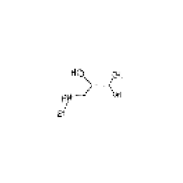 CCNCC(O)C(C)O